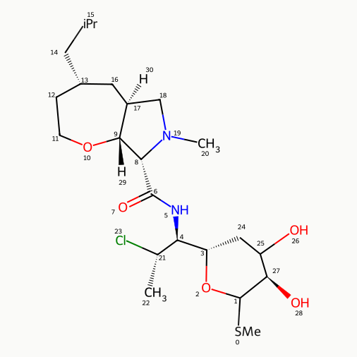 CSC1O[C@H]([C@H](NC(=O)[C@@H]2[C@@H]3OCC[C@H](CC(C)C)C[C@H]3CN2C)[C@H](C)Cl)CC(O)[C@H]1O